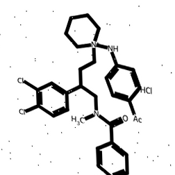 CC(=O)c1ccc(N[N+]2(CCC(CN(C)C(=O)c3ccccc3)c3ccc(Cl)c(Cl)c3)CCCCC2)cc1.Cl